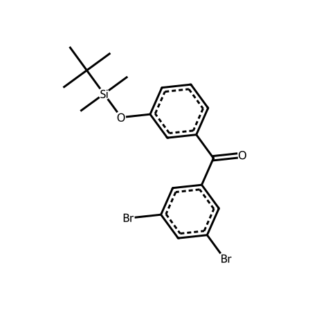 CC(C)(C)[Si](C)(C)Oc1cccc(C(=O)c2cc(Br)cc(Br)c2)c1